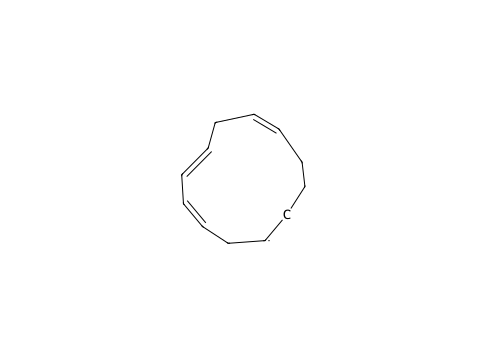 [CH]1C/C=C\C=C\C/C=C\CCC1